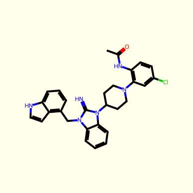 CC(=O)Nc1ccc(Cl)cc1N1CCC(n2c(=N)n(Cc3cccc4[nH]ccc34)c3ccccc32)CC1